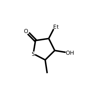 CCC1C(=O)SC(C)C1O